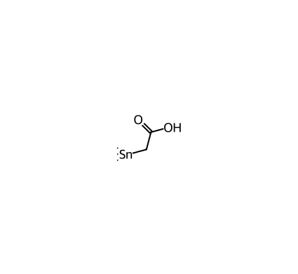 O=C(O)[CH2][Sn]